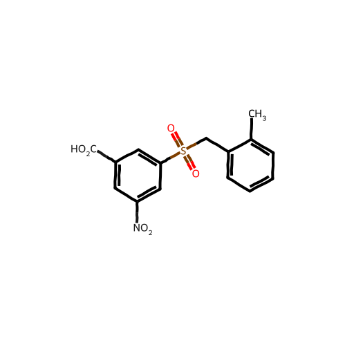 Cc1ccccc1CS(=O)(=O)c1cc(C(=O)O)cc([N+](=O)[O-])c1